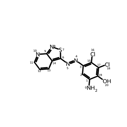 Nc1cc(/N=N/c2snc3ncccc23)c(Cl)c(Cl)c1O